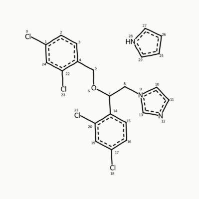 Clc1ccc(COC(Cn2ccnc2)c2ccc(Cl)cc2Cl)c(Cl)c1.c1cc[nH]c1